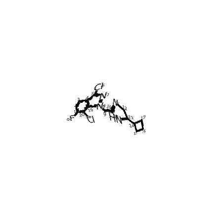 Fc1ccc2c(Cl)nn(CC3=NCC(C4CCC4)N3)c2c1Cl